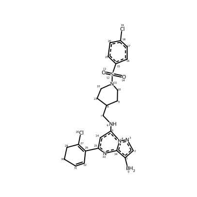 Bc1cnn2c(NCC3CCN(S(=O)(=O)c4ccc(Cl)cc4)CC3)cc(C3=C(Cl)CCC=C3)nc12